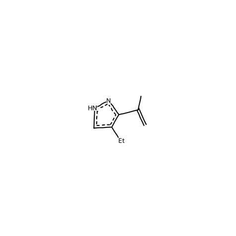 C=C(C)c1n[nH]cc1CC